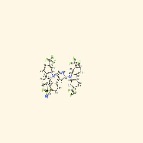 N#Cc1ccc(-c2cc(-n3c4cc(C(F)(F)F)ccc4c4ccc(C(F)(F)F)cc43)ncc2-n2c3cc(C(F)(F)F)ccc3c3ccc(C(F)(F)F)cc32)cc1